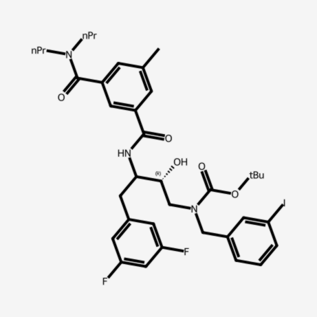 CCCN(CCC)C(=O)c1cc(C)cc(C(=O)NC(Cc2cc(F)cc(F)c2)[C@H](O)CN(Cc2cccc(I)c2)C(=O)OC(C)(C)C)c1